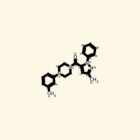 Cc1cccc(N2CCN(C(=O)c3cc(C)nn3-c3ccccc3)CC2)c1